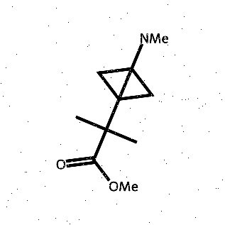 CNC12CC1(C(C)(C)C(=O)OC)C2